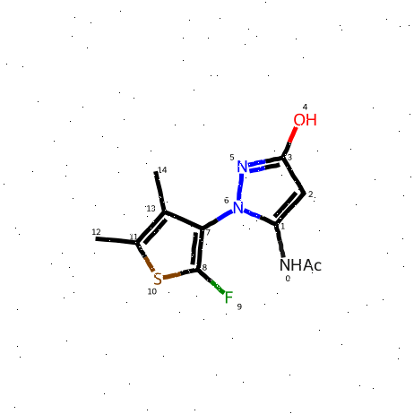 CC(=O)Nc1cc(O)nn1-c1c(F)sc(C)c1C